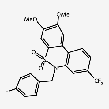 COc1cc2c(cc1OC)S(=O)(=O)N(Cc1ccc(F)cc1)c1cc(C(F)(F)F)ccc1-2